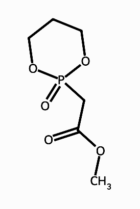 COC(=O)CP1(=O)OCCCO1